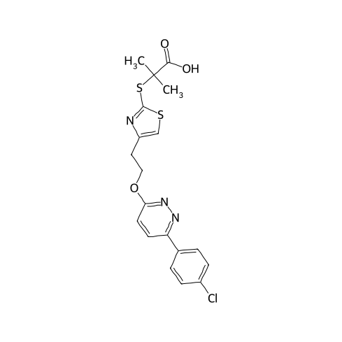 CC(C)(Sc1nc(CCOc2ccc(-c3ccc(Cl)cc3)nn2)cs1)C(=O)O